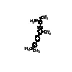 COc1ccc(-c2nc3n(n2)CC(C2CCC(N4CCN(C(C)C)CC4)CC2)CC3C)cc1OC